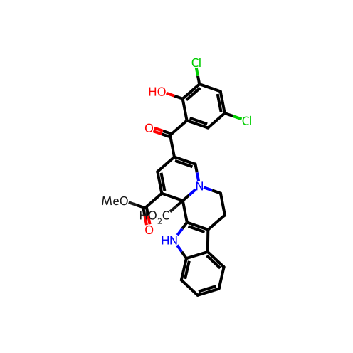 COC(=O)C1=CC(C(=O)c2cc(Cl)cc(Cl)c2O)=CN2CCc3c([nH]c4ccccc34)C12C(=O)O